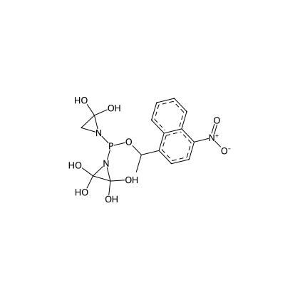 CC(OP(N1CC1(O)O)N1C(O)(O)C1(O)O)c1ccc([N+](=O)[O-])c2ccccc12